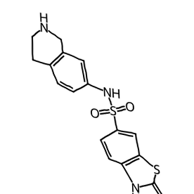 O=c1[nH]c2ccc(S(=O)(=O)Nc3ccc4c(c3)CNCC4)cc2s1